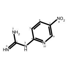 N=C(N)Nc1ccc([N+](=O)[O-])cn1